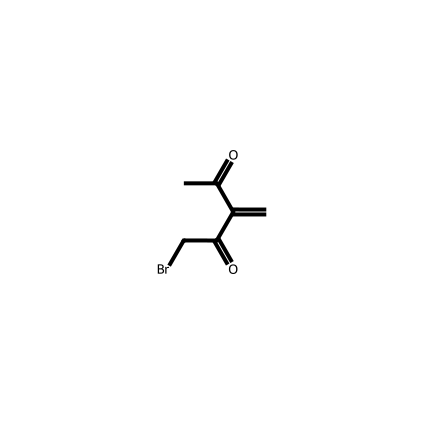 C=C(C(C)=O)C(=O)CBr